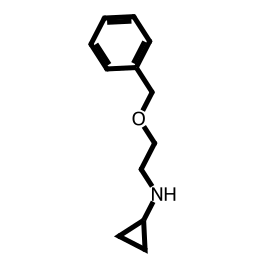 c1ccc(COCCNC2CC2)cc1